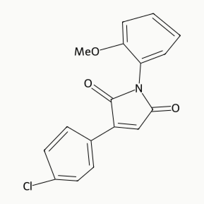 COc1ccccc1N1C(=O)C=C(c2ccc(Cl)cc2)C1=O